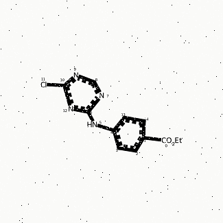 CCOC(=O)c1ccc(Nc2ncnc(Cl)n2)cc1